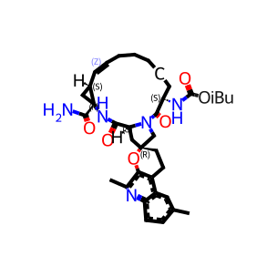 Cc1ccc2nc(C)c3c(c2c1)CC[C@]1(C[C@H]2C(=O)N[C@]4(C(N)=O)C[C@H]4/C=C\CCCCC[C@H](NC(=O)OCC(C)C)C(=O)N2C1)O3